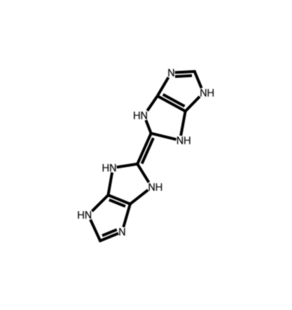 c1nc2c([nH]1)N/C(=C1\Nc3nc[nH]c3N1)N2